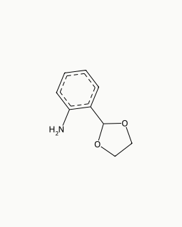 Nc1ccccc1C1OCCO1